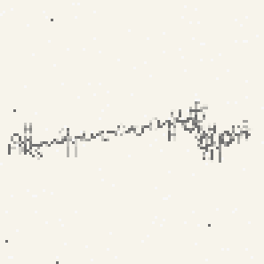 O=C(CCCCC1SCC2NC(=O)NC21)NCCOCCOCCOCCOCCOCCNC(=O)c1ccc(Nc2ncc(Cl)c(Nc3ccc(OC(F)(F)F)cc3)n2)c(OC(F)(F)F)c1